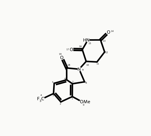 COc1cc(C(F)(F)F)cc2c1CN(C1CCC(=O)NC1=O)C2=O